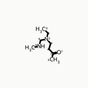 CCN(CCC(C)=O)CNC